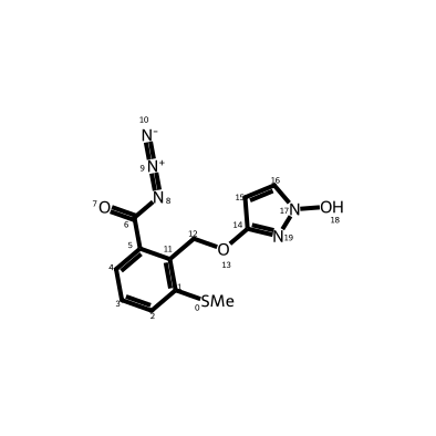 CSc1cccc(C(=O)N=[N+]=[N-])c1COc1ccn(O)n1